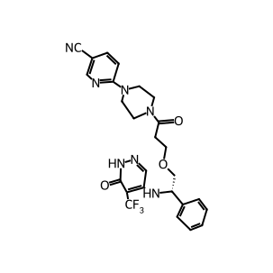 N#Cc1ccc(N2CCN(C(=O)CCOC[C@@H](Nc3cn[nH]c(=O)c3C(F)(F)F)c3ccccc3)CC2)nc1